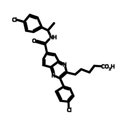 CC(NC(=O)c1ccc2nc(-c3ccc(Cl)cc3)c(CCCCC(=O)O)nc2c1)c1ccc(Cl)cc1